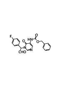 O=CC(c1ccc(F)cc1)n1cncc(NC(=O)OCc2ccccc2)c1=O